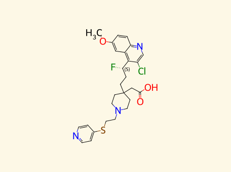 COc1ccc2ncc(Cl)c([C@@H](F)CCC3(CC(=O)O)CCN(CCSc4ccncc4)CC3)c2c1